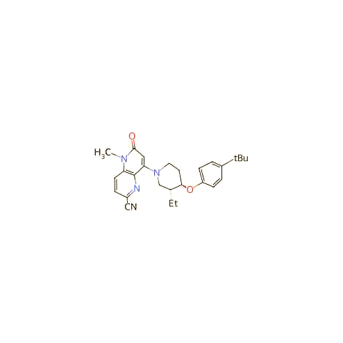 CC[C@@H]1CN(c2cc(=O)n(C)c3ccc(C#N)nc23)CC[C@H]1Oc1ccc(C(C)(C)C)cc1